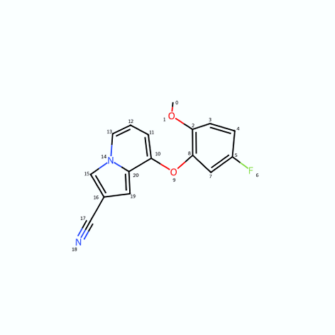 COc1ccc(F)cc1Oc1cccn2cc(C#N)cc12